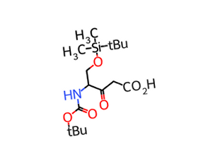 CC(C)(C)OC(=O)NC(CO[Si](C)(C)C(C)(C)C)C(=O)CC(=O)O